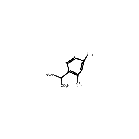 CCCCCCCCCC(C(=O)O)c1ccc(C(F)(F)F)cc1C(F)(F)F